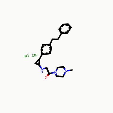 CN1CCN(C(=O)CNC2CC2c2ccc(CCc3ccccc3)cc2)CC1.Cl.Cl